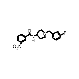 O=C(NC1CCN(Cc2cccc(F)c2)CC1)c1cccc([N+](=O)[O-])c1